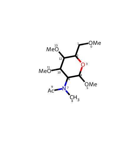 COCC1OC(OC)C(N(C)C(C)=O)C(OC)C1OC